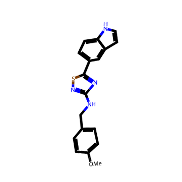 COc1ccc(CNc2nsc(-c3ccc4[nH]ccc4c3)n2)cc1